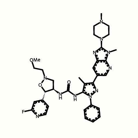 COCCN1C[C@@H](NC(=O)Nc2c(C)c(-c3cnc4c(c3)nc(N3CCN(C)CC3)n4C)nn2-c2ccccc2)[C@H](c2ccnc(F)c2)O1